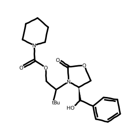 CC(C)(C)C(COC(=O)N1CCCCC1)N1C(=O)OC[C@H]1C(O)c1ccccc1